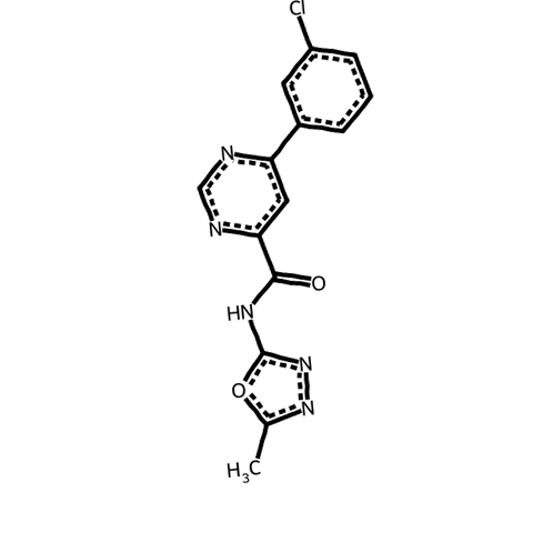 Cc1nnc(NC(=O)c2cc(-c3cccc(Cl)c3)ncn2)o1